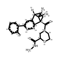 CNC(=O)C1CN(C(=O)[C@@]23CC[C@@H](c4cc(-c5ccccc5F)nnc42)C3(C)C)CCO1